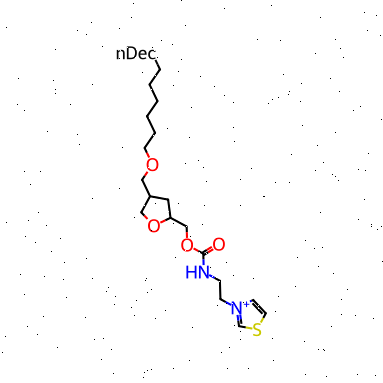 CCCCCCCCCCCCCCCCOCC1COC(COC(=O)NCC[n+]2ccsc2)C1